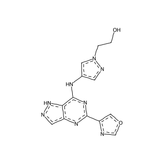 OCCn1cc(Nc2nc(-c3cocn3)nc3cn[nH]c23)cn1